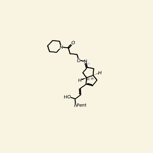 CCCCCC(O)C=CC1=CC[C@@H]2C/C(=N/OCCC(=O)N3CCCCC3)C[C@@H]12